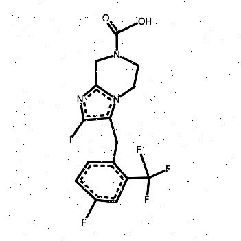 O=C(O)N1CCn2c(nc(I)c2Cc2ccc(F)cc2C(F)(F)F)C1